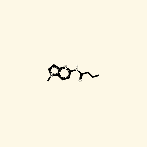 CCCC(=O)Nc1ccc2c(ccn2C)n1